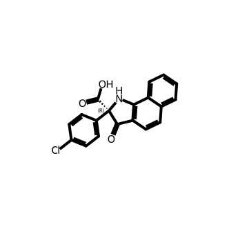 O=C(O)[C@]1(c2ccc(Cl)cc2)Nc2c(ccc3ccccc23)C1=O